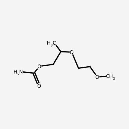 COCCOC(C)COC(N)=O